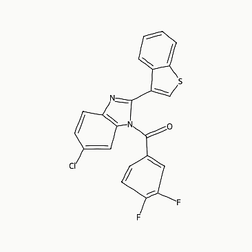 O=C(c1ccc(F)c(F)c1)n1c(-c2csc3ccccc23)nc2ccc(Cl)cc21